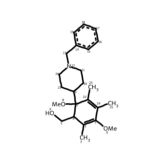 COC1=C(C)C(CO)C(OC)(C2CCN(Cc3ccccc3)CC2)C(C)=C1C